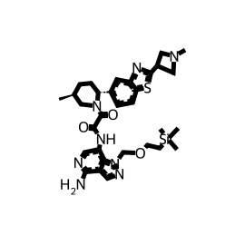 C[C@H]1CC[C@H](c2ccc3sc(C4CN(C)C4)nc3c2)N(C(=O)C(=O)Nc2cnc(N)c3cnn(COCC[Si](C)(C)C)c23)C1